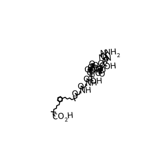 CC(C)(CCCCc1cccc(CCCCC(C)(C)CC(=O)CCNC(=O)CCNC(=O)C(O)C(C)(C)COP(=O)(O)OP(=O)(O)OCC2OC(n3cnc4c(N)ncnc43)C(O)C2OP(=O)(O)O)c1)CC(=O)O